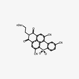 CCCCCCCCCCCCN1C(=O)c2cc(C#N)c3c4c(c(C#N)cc(c24)C1=O)S(=O)(=O)c1ccc(C#N)cc1-3